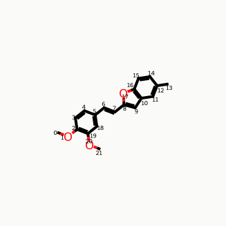 COc1ccc(C=Cc2cc3cc(C)ccc3o2)cc1OC